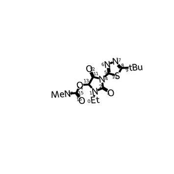 CCN1C(=O)N(c2nnc(C(C)(C)C)s2)C(=O)C1OC(=O)NC